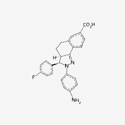 Nc1ccc(N2N=C3c4ccc(C(=O)O)cc4CC[C@@H]3[C@@H]2c2ccc(F)cc2)cc1